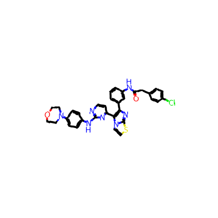 O=C(Cc1ccc(Cl)cc1)Nc1cccc(-c2nc3sccn3c2-c2ccnc(Nc3ccc(N4CCOCC4)cc3)n2)c1